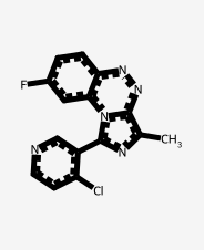 Cc1nc(-c2cnccc2Cl)n2c1nnc1ccc(F)cc12